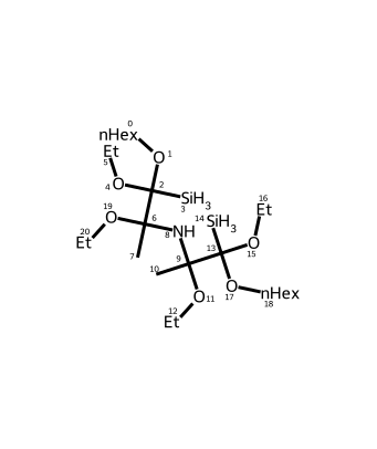 CCCCCCOC([SiH3])(OCC)C(C)(NC(C)(OCC)C([SiH3])(OCC)OCCCCCC)OCC